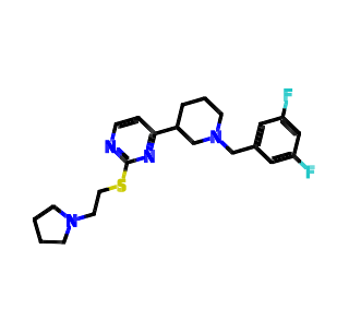 Fc1cc(F)cc(CN2CCCC(c3ccnc(SCCN4CCCC4)n3)C2)c1